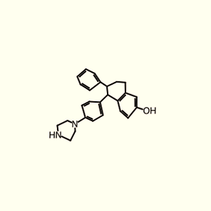 Oc1ccc2c(c1)CCC(c1ccccc1)C2c1ccc(N2CCNCC2)cc1